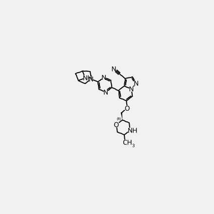 CC1CO[C@@H](COc2cc(-c3cnc(N4CC5CC(C4)N5)cn3)c3c(C#N)cnn3c2)CN1